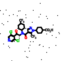 O=C(CN(C(=O)c1cnn(C2CCC(C(=O)O)CC2)c1C(F)(F)F)C1CCC(C(F)(F)F)CC1)c1c(Cl)cncc1Cl